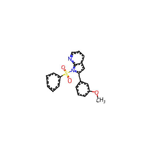 COc1cccc(-c2cc3cccnc3n2S(=O)(=O)c2ccccc2)c1